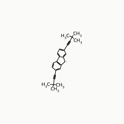 CC(C)(C)C#Cc1ccc2c(c1)[CH]c1cc(C#CC(C)(C)C)ccc1-2